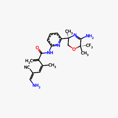 C=C(C(=O)Nc1cccc([C@]2(C)CO[C@@](C)(C(F)(F)F)C(N)=N2)n1)/C(C)=C\C(C#N)=C/N